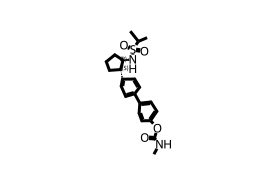 CNC(=O)Oc1ccc(-c2ccc([C@@H]3CCC[C@H]3NS(=O)(=O)C(C)C)cc2)cc1